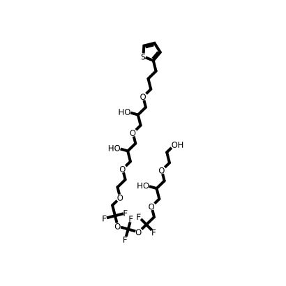 OCCOCC(O)COCC(F)(F)OC(F)(F)OC(F)(F)COCCOCC(O)COCC(O)COCCCc1cccs1